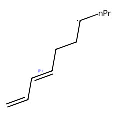 C=C/C=C/CC[CH]CCC